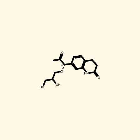 CC(=O)[C@@H](OCC(O)CO)c1ccc2c(c1)NC(=O)CC2